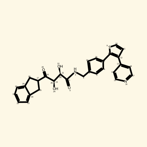 O=C(NCc1ccc(-c2sccc2-c2ccncc2)cc1)[C@H](O)[C@@H](O)C(=O)C1Cc2ccccc2C1